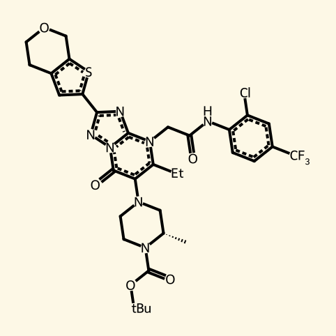 CCc1c(N2CCN(C(=O)OC(C)(C)C)[C@@H](C)C2)c(=O)n2nc(-c3cc4c(s3)COCC4)nc2n1CC(=O)Nc1ccc(C(F)(F)F)cc1Cl